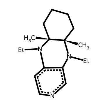 CCN1c2ccncc2N(CC)[C@@]2(C)CCCC[C@@]12C